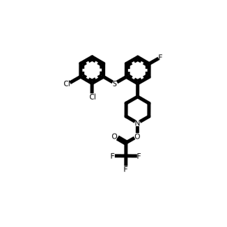 O=C(ON1CCC(c2cc(F)ccc2Sc2cccc(Cl)c2Cl)CC1)C(F)(F)F